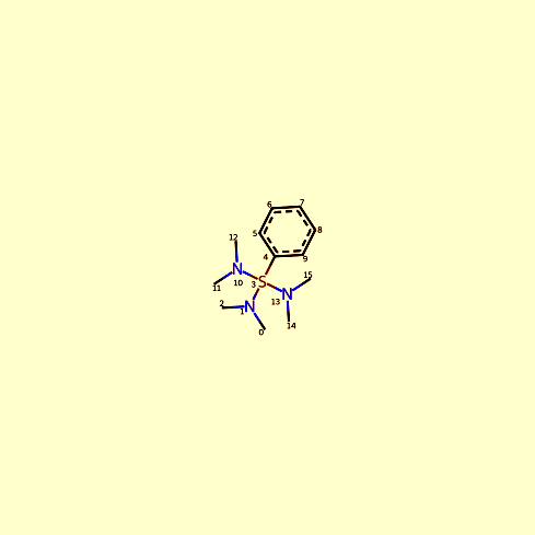 CN(C)S(c1ccccc1)(N(C)C)N(C)C